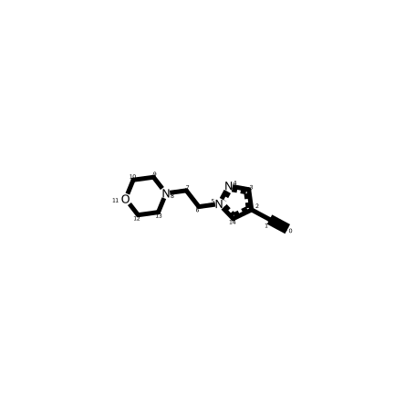 C#Cc1cnn(CCN2CCOCC2)c1